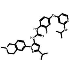 CC(C)Nc1cc(Oc2ccc(NC(=O)Nc3cc(C(C)C)nn3-c3ccc4c(c3)CCN(C)C4)c(F)c2)ccn1